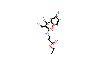 CCOC(=O)C=CNc1oc2ccc(Cl)cc2c(=O)c1C=O